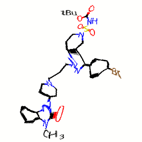 Cn1c(=O)n(C2CCN(CCCn3nc(-c4ccc(Br)cc4)c4c3CCN(S(=O)(=O)NC(=O)OC(C)(C)C)C4)CC2)c2ccccc21